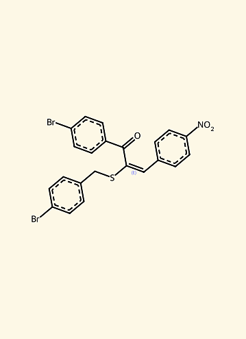 O=C(/C(=C\c1ccc([N+](=O)[O-])cc1)SCc1ccc(Br)cc1)c1ccc(Br)cc1